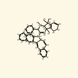 CN1C(c2ccccc2)C(N2c3cc4ccccc4cc3C3=Cc4ccccc4C=CC32)=NC2(C)C3=C(C=CCC3)C(C)(C)C12